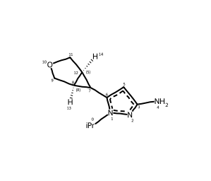 CC(C)n1nc(N)cc1C1[C@H]2COC[C@@H]12